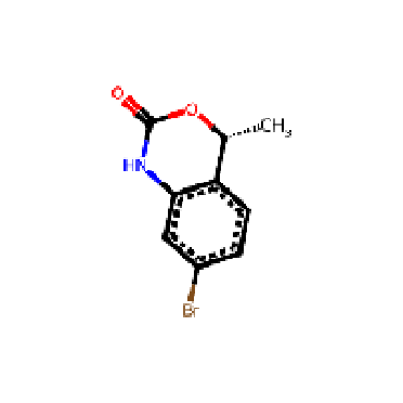 C[C@H]1OC(=O)Nc2cc(Br)ccc21